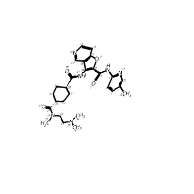 Cc1ccc(NC(=O)c2oc3ccncc3c2NC(=O)[C@H]2CC[C@H](C(=O)N(C)CCN(C)C)CC2)nc1